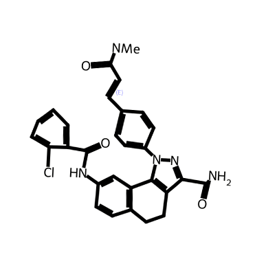 CNC(=O)/C=C/c1ccc(-n2nc(C(N)=O)c3c2-c2cc(NC(=O)c4ccccc4Cl)ccc2CC3)cc1